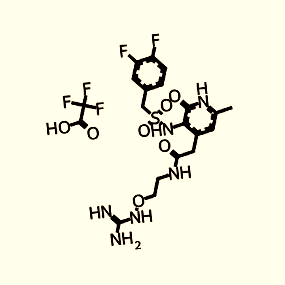 Cc1cc(CC(=O)NCCONC(=N)N)c(NS(=O)(=O)Cc2ccc(F)c(F)c2)c(=O)[nH]1.O=C(O)C(F)(F)F